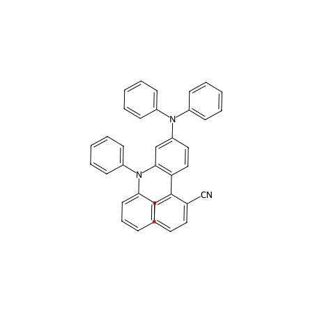 N#Cc1ccccc1-c1ccc(N(c2ccccc2)c2ccccc2)cc1N(c1ccccc1)c1ccccc1